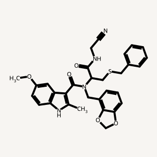 COc1ccc2[nH]c(C)c(C(=O)N(Cc3cccc4c3OCO4)C(CSCc3ccccc3)C(=O)NCC#N)c2c1